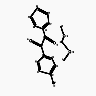 COCOC.O=C(C(=O)c1ccc(Br)cc1)c1ccccc1